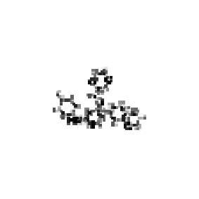 CC1CCC(Nc2ncc(-c3ccc4c(c3)OCCO4)c(OC[C@H]3COCCO3)n2)CC1